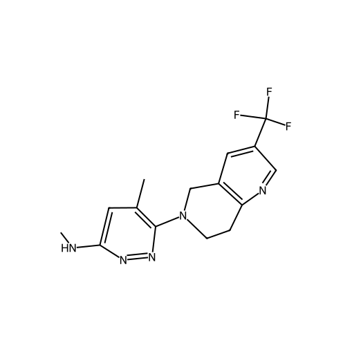 CNc1cc(C)c(N2CCc3ncc(C(F)(F)F)cc3C2)nn1